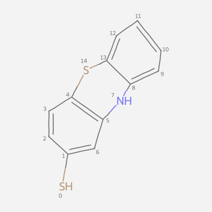 Sc1ccc2c(c1)Nc1ccccc1S2